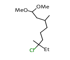 CCC(C)(Cl)CCCC(C)CC(OC)OC